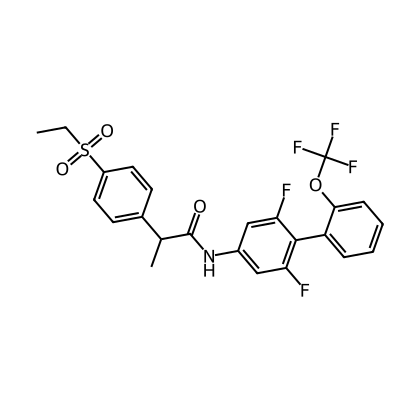 CCS(=O)(=O)c1ccc(C(C)C(=O)Nc2cc(F)c(-c3ccccc3OC(F)(F)F)c(F)c2)cc1